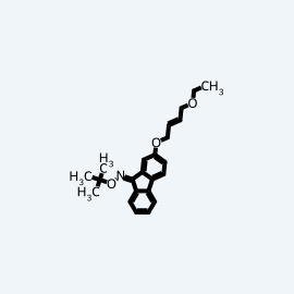 CCOC/C=C/COc1ccc2c(c1)/C(=N/OC(C)(C)C)c1ccccc1-2